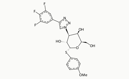 COc1ccc(S[C@H]2O[C@H](CO)[C@H](O)[C@H](n3cc(-c4cc(F)c(F)c(F)c4)nn3)[C@H]2O)cc1